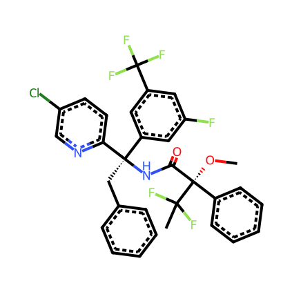 CO[C@](C(=O)N[C@](Cc1ccccc1)(c1cc(F)cc(C(F)(F)F)c1)c1ccc(Cl)cn1)(c1ccccc1)C(C)(F)F